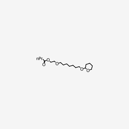 CCCC(=O)OCCOCCCCCCCOC1CCCCO1